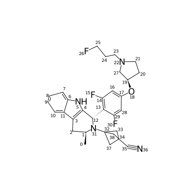 C[C@H]1Cc2c([nH]c3ccccc23)[C@H](c2c(F)cc(O[C@@H]3CCN(CCCF)C3)cc2F)N1C12CC(C#N)(C1)C2